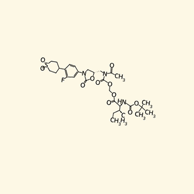 CC[C@H](C)[C@H](NC(=O)OC(C)(C)C)C(=O)OCOC(=O)N(C[C@H]1CN(c2ccc(C3CCS(=O)(=O)CC3)c(F)c2)C(=O)O1)C(C)=O